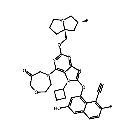 C#Cc1c(F)ccc2cc(O)cc(Oc3nc4nc(OC[C@@]56CCCN5C[C@H](F)C6)nc(N5CCOCC(=O)C5)c4n3C3CCC3)c12